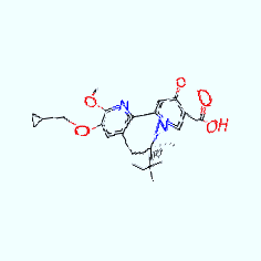 COc1nc2c(cc1OCC1CC1)C[C@](C)(C(C)(C)C)n1cc(C(=O)O)c(=O)cc1-2